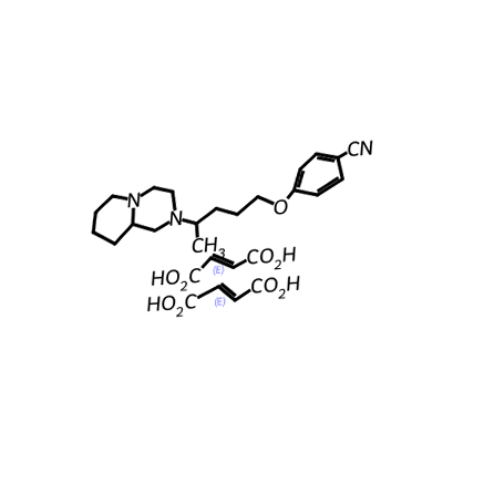 CC(CCCOc1ccc(C#N)cc1)N1CCN2CCCCC2C1.O=C(O)/C=C/C(=O)O.O=C(O)/C=C/C(=O)O